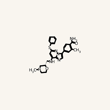 Cc1cc(-c2cnc3c(NC[C@H]4CN(C)CCO4)cc(Sc4ccccc4)nn23)ccc1C(N)=O